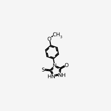 COc1ccc(-n2c(=O)[nH][nH]c2=S)cc1